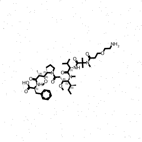 CC[C@H](C)[C@@H]([C@@H](CC(=O)N1CCC[C@H]1[C@H](OC)[C@@H](C)C(=O)N[C@@H](Cc1ccccc1)C(=O)O)OC)N(C)C(=O)[C@@H](NC(=O)C(C)(C)N(C)C(=O)CCOCCN)C(C)C